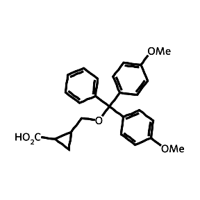 COc1ccc(C(OCC2CC2C(=O)O)(c2ccccc2)c2ccc(OC)cc2)cc1